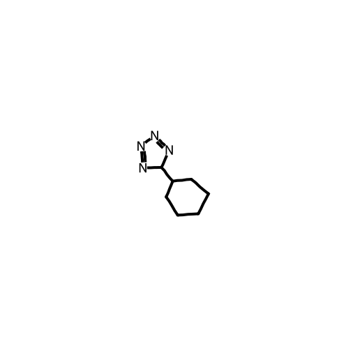 C1CCC(C2N=NN=N2)CC1